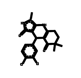 Cn1[nH]c(=O)c2c1NC1=C(C(=O)C(C)(C)CC1)C2c1ccc(Cl)c(Cl)c1